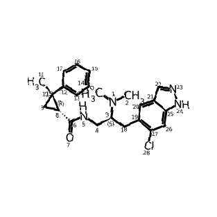 CN(C)[C@H](CNC(=O)[C@@H]1C[C@]1(C)c1ccccc1)Cc1cc2cn[nH]c2cc1Cl